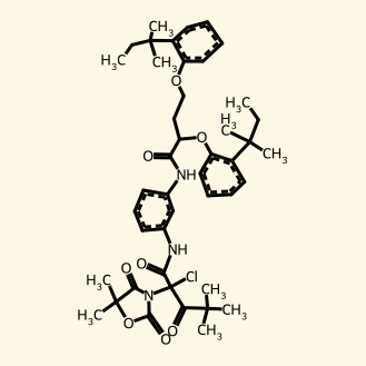 CCC(C)(C)c1ccccc1OCCC(Oc1ccccc1C(C)(C)CC)C(=O)Nc1cccc(NC(=O)C(Cl)(C(=O)C(C)(C)C)N2C(=O)OC(C)(C)C2=O)c1